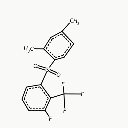 Cc1ccc(S(=O)(=O)c2cccc(F)c2C(F)(F)F)c(C)c1